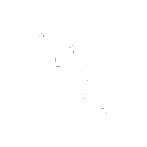 NOCC1CC(=O)N1